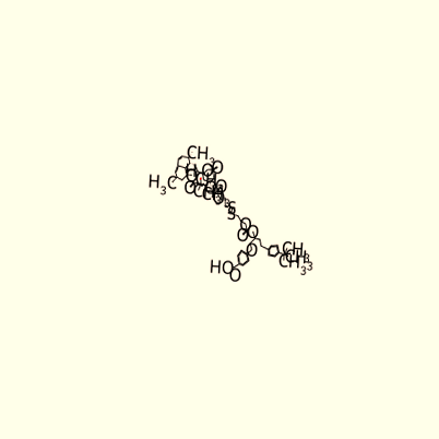 CCC(C)(C)C(=O)O[C@H]1C[C@@H](C)C=C2C=C[C@H](C)[C@H](CC[C@@H]3C[C@@H](OC(=O)OCCSSCCOC(=O)OC(CCc4ccc(C(C)(C)C)cc4)COc4ccc(C(=O)O)cc4)CC(=O)O3)[C@H]21